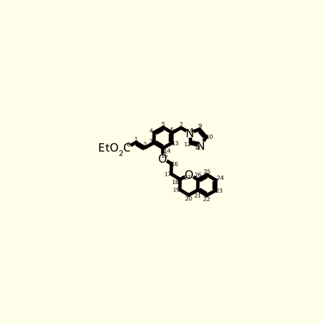 CCOC(=O)/C=C/c1ccc(Cn2ccnc2)cc1OCCC1CCc2ccccc2O1